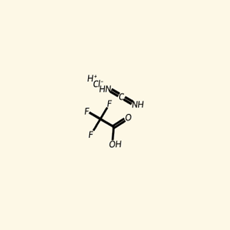 N=C=N.O=C(O)C(F)(F)F.[Cl-].[H+]